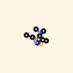 c1ccc(-c2ccc(N(c3ccc4c5ccccc5n(-c5ccccc5)c4c3)c3nccc4oc5c6ccccc6ccc5c34)cc2)cc1